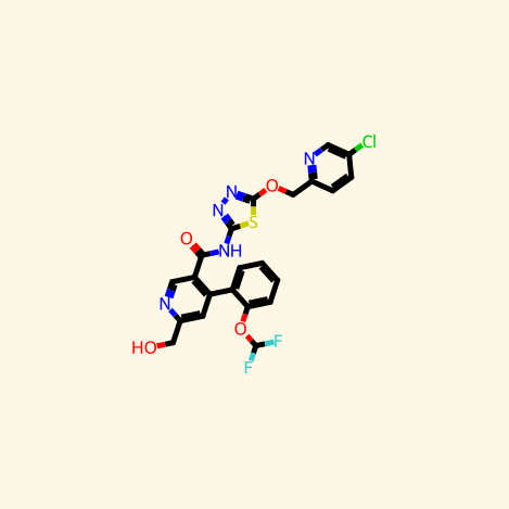 O=C(Nc1nnc(OCc2ccc(Cl)cn2)s1)c1cnc(CO)cc1-c1ccccc1OC(F)F